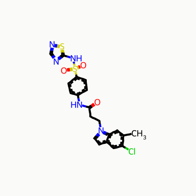 Cc1cc2c(ccn2CCC(=O)Nc2ccc(S(=O)(=O)Nc3ncns3)cc2)cc1Cl